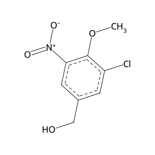 COc1c(Cl)cc(CO)cc1[N+](=O)[O-]